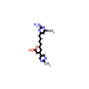 Cc1ncc(C(CCCCCCc2cc([AsH2])nc(N)n2)CC(=O)O)cn1